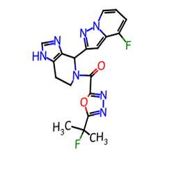 CC(C)(F)c1nnc(C(=O)N2CCc3[nH]cnc3C2c2cc3c(F)cccn3n2)o1